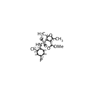 COC(=O)c1c(C)oc(C)c1S(=O)(=O)Nc1ccc(F)cc1Cl